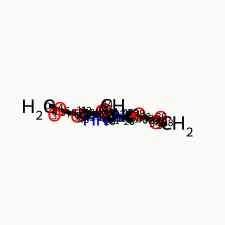 C=CC(=O)OCCCCOc1ccc(/C=C/C(=O)Nc2ccc(/N=C/c3ccc(OCCCCOC(=O)C=C)cc3)cc2OC)cc1